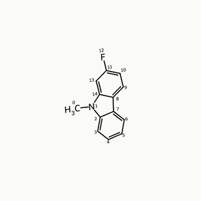 Cn1c2ccccc2c2ccc(F)cc21